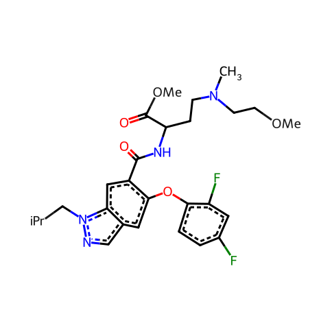 COCCN(C)CCC(NC(=O)c1cc2c(cnn2CC(C)C)cc1Oc1ccc(F)cc1F)C(=O)OC